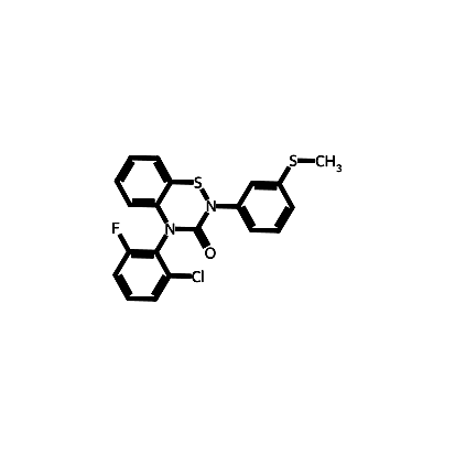 CSc1cccc(N2Sc3ccccc3N(c3c(F)cccc3Cl)C2=O)c1